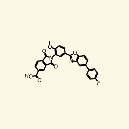 COc1ccc(-c2nc3cc(-c4ccc(F)cc4)ccc3o2)cc1N1C(=O)c2ccc(C(=O)O)cc2C1=O